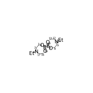 CCN1CCOB(B2OCCN(CC)CCO2)OCC1